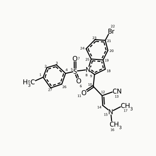 Cc1ccc(S(=O)(=O)n2c(C(=O)C(C#N)=CN(C)C)cc3cc(Br)ccc32)cc1